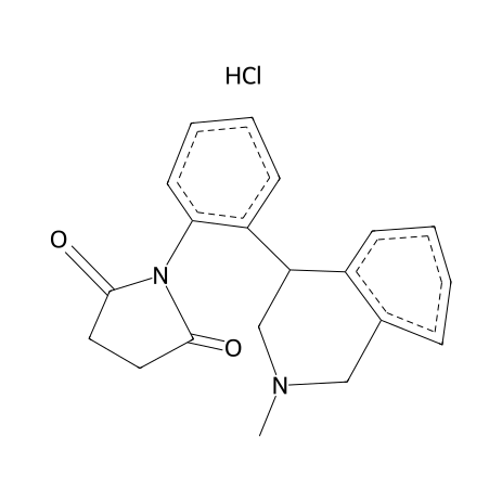 CN1Cc2ccccc2C(c2ccccc2N2C(=O)CCC2=O)C1.Cl